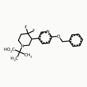 CC(C)(C(=O)O)N1CCC(F)(F)C(c2ccc(OCc3ccccc3)nc2)C1